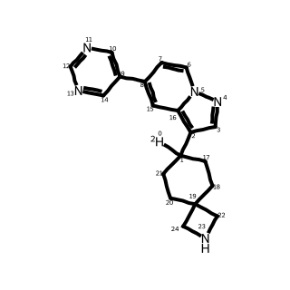 [2H]C1(c2cnn3ccc(-c4cncnc4)cc23)CCC2(CC1)CNC2